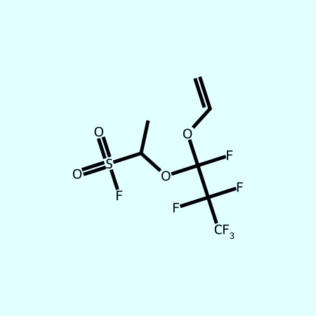 C=COC(F)(OC(C)S(=O)(=O)F)C(F)(F)C(F)(F)F